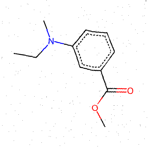 CCN(C)c1cccc(C(=O)OC)c1